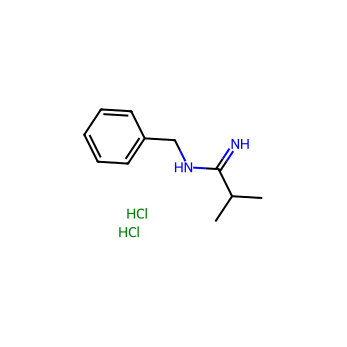 CC(C)C(=N)NCc1ccccc1.Cl.Cl